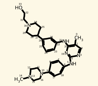 Cc1cnc(Nc2ccc(N3CCN(C)CC3)cc2)nc1Nc1cccc(C2CCN(CCO)CC2)c1